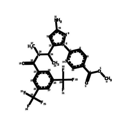 COC(=O)c1ccc(-n2nc(N)cc2C(C)N(C)C(=O)c2cc(C(F)(F)F)cc(C(F)(F)F)c2)nc1